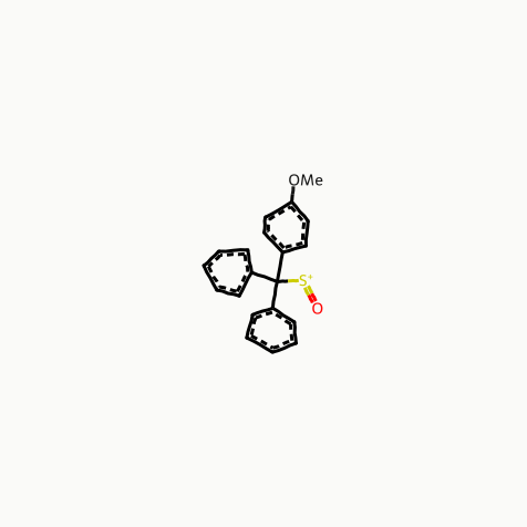 COc1ccc(C([S+]=O)(c2ccccc2)c2ccccc2)cc1